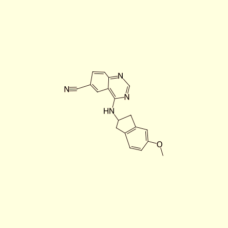 COc1ccc2c(c1)CC(Nc1ncnc3ccc(C#N)cc13)C2